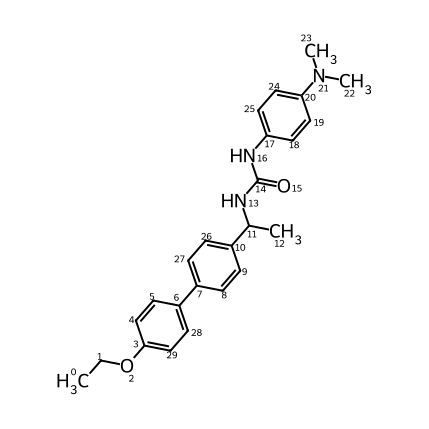 CCOc1ccc(-c2ccc(C(C)NC(=O)Nc3ccc(N(C)C)cc3)cc2)cc1